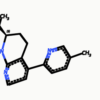 CC[C@H]1CCc2c(-c3ccc(C)cn3)ccnc2N1